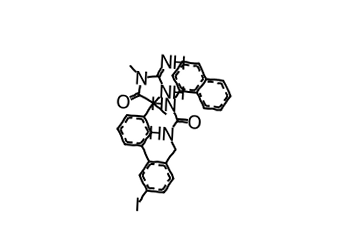 CN1C(=N)NC(C)(c2cccc(-c3cc(I)ccc3CNC(=O)Nc3cccc4ccccc34)c2)C1=O